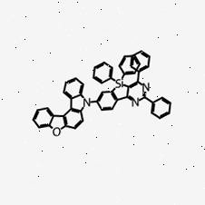 c1ccc(-c2nc(-c3ccccc3)c3c(n2)-c2ccc(-n4c5ccccc5c5c6c(ccc54)oc4ccccc46)cc2[Si]3(c2ccccc2)c2ccccc2)cc1